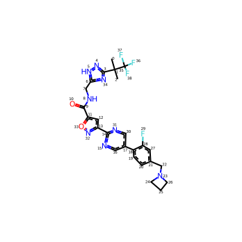 CC(C)(c1n[nH]c(CNC(=O)c2cc(-c3ncc(-c4ccc(CN5CCC5)cc4F)cn3)no2)n1)C(F)(F)F